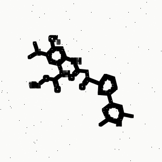 Cc1cc(-c2cccc(C(=O)CC(=O)Nc3cc(C(F)(F)F)c(N(C)C)cc3NC(=O)OC(C)(C)C)c2)cc(C)n1